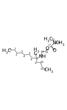 CCCCCCCC(C)(CCCC)NCCOC(=O)N(C)C